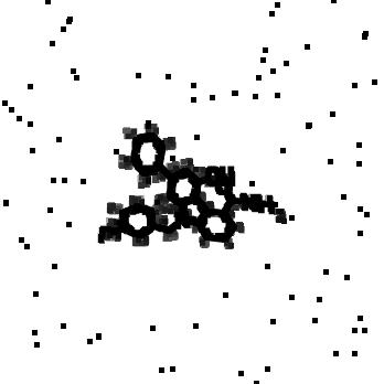 NC(=O)c1cccc2c1c1c(O)cc(-c3ccccc3)cc1n2Cc1cccc(F)c1